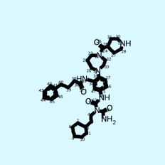 NC(=O)N(CCC1CCCCC1)C(=O)Nc1ccc(N2CCCN(C(=O)C3CCNCC3)CC2)c(NC(=O)CCCc2ccccc2)c1